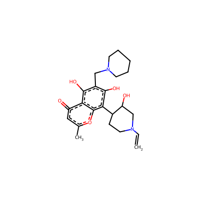 C=CN1CCC(c2c(O)c(CN3CCCCC3)c(O)c3c(=O)cc(C)oc23)C(O)C1